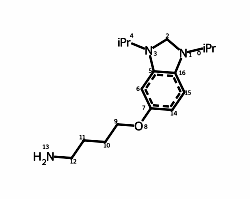 CC(C)N1CN(C(C)C)c2cc(OCCCCN)ccc21